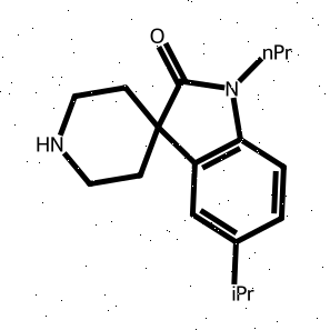 CCCN1C(=O)C2(CCNCC2)c2cc(C(C)C)ccc21